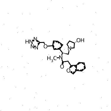 CN(C(=O)Cc1occ2ccccc12)[C@H](CN1CC[C@H](O)C1)c1cccc(OCc2nn[nH]n2)c1